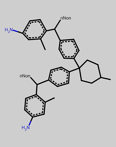 CCCCCCCCCC(c1ccc(C2(c3ccc(C(CCCCCCCCC)c4ccc(N)cc4C)cc3)CCC(C)CC2)cc1)c1ccc(N)cc1C